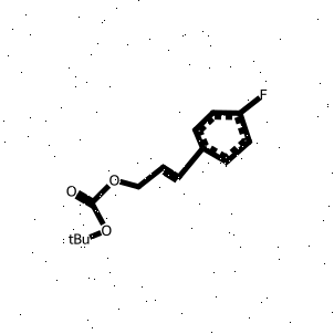 CC(C)(C)OC(=O)OCC=Cc1ccc(F)cc1